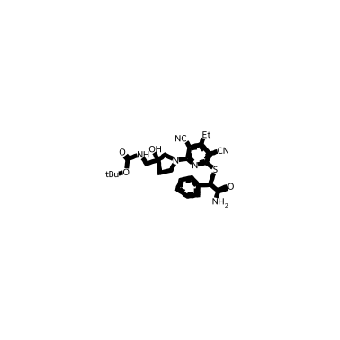 CCc1c(C#N)c(SC(C(N)=O)c2ccccc2)nc(N2CCC(O)(CNC(=O)OC(C)(C)C)C2)c1C#N